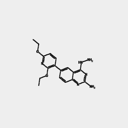 CCOc1ccc(-c2ccc3nc(N)nc(NN)c3c2)c(OCC)n1